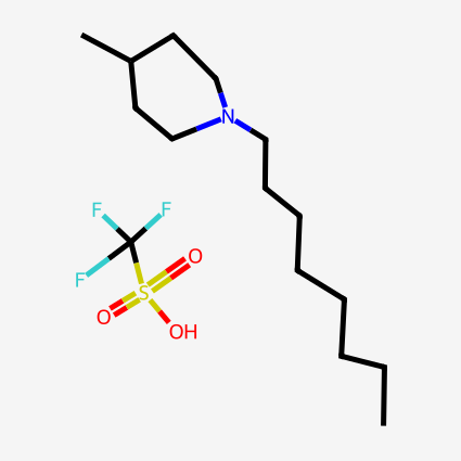 CCCCCCCCN1CCC(C)CC1.O=S(=O)(O)C(F)(F)F